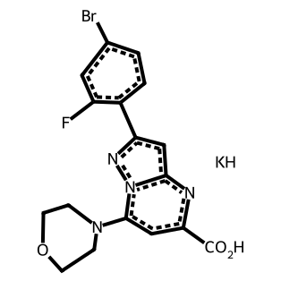 O=C(O)c1cc(N2CCOCC2)n2nc(-c3ccc(Br)cc3F)cc2n1.[KH]